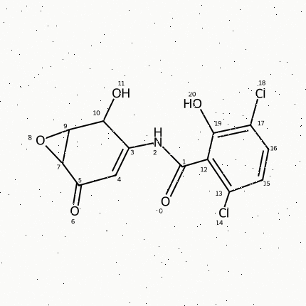 O=C(NC1=CC(=O)C2OC2C1O)c1c(Cl)ccc(Cl)c1O